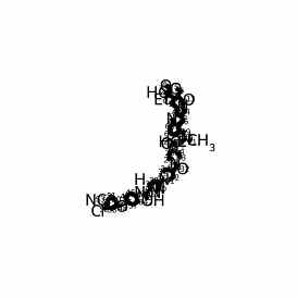 CC[C@@]1(O)C(=O)OCc2c1cc1n(c2=O)Cc2cc3c(CN(C)C)c(OC(=O)N4CCN(C(=O)C5CCN(c6ccc(C(O)N[C@H]7CC[C@H](Oc8ccc(C#N)c(Cl)c8)CC7)nn6)CC5)CC4)ccc3nc2-1